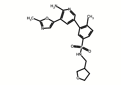 Cc1ncc(-c2cc(-c3cc(S(=O)(=O)NCC4CCOC4)ccc3C)cnc2N)o1